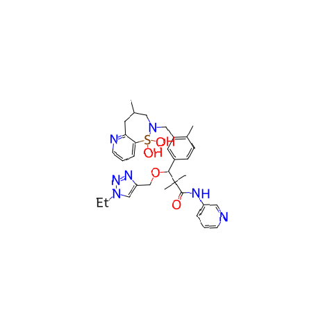 CCn1cc(COC(c2ccc(C)c(CN3CC(C)Cc4ncccc4S3(O)O)c2)C(C)(C)C(=O)Nc2cccnc2)nn1